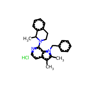 Cc1c(C)n(Cc2ccccc2)c2c(N3CCc4ccccc4C3C)nccc12.Cl